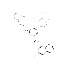 CN1CCCC1CCNc1nc(C(=O)Nc2cc(O)cc3ccccc23)cc(N2CCN[C@@H](CC#N)C2)n1